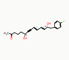 CC(=O)CCC[C@H](O)C#C/C=C/C=C/[C@H](O)Cc1ccc(F)cc1